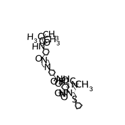 CN(C)CC[C@H](CSc1ccccc1)Nc1ccc(S(=O)(=O)NC(=O)c2ccc(N3CCN(C(=O)c4cccc(NC(=O)OC(C)(C)C)c4)CC3)cc2)cc1[N+](=O)[O-]